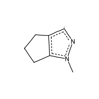 Cn1n[c]c2c1CCC2